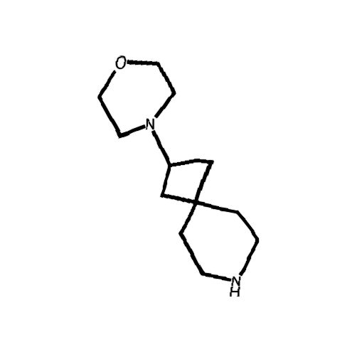 C1CC2(CCN1)CC(N1CCOCC1)C2